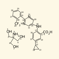 NC(CO)(CO)CO.O=C(O)c1cc(C2CC2)ccc1Nc1cnc(-c2ccccc2C(F)(F)F)nc1